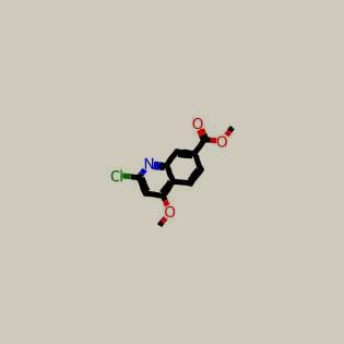 COC(=O)c1ccc2c(OC)cc(Cl)nc2c1